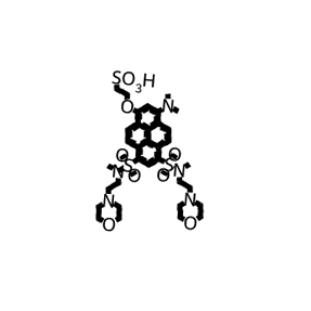 CN(C)c1cc(OCCS(=O)(=O)O)c2ccc3c(S(=O)(=O)N(C)CCN4CCOCC4)cc(S(=O)(=O)N(C)CCN4CCOCC4)c4ccc1c2c34